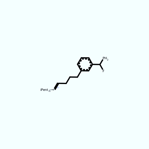 CCC[C@@H](C)/C=C/CCCc1cccc(C(F)P)c1